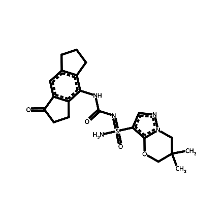 CC1(C)COc2c(S(N)(=O)=NC(=O)Nc3c4c(cc5c3CCC5=O)CCC4)cnn2C1